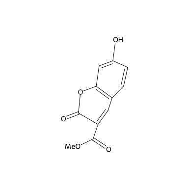 COC(=O)c1cc2ccc(O)cc2oc1=O